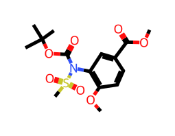 COC(=O)c1ccc(OC)c(N(C(=O)OC(C)(C)C)S(C)(=O)=O)c1